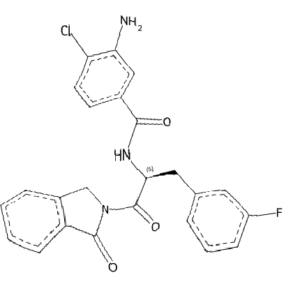 Nc1cc(C(=O)N[C@@H](Cc2cccc(F)c2)C(=O)N2Cc3ccccc3C2=O)ccc1Cl